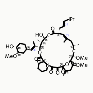 CO[C@H]1C[C@@H](C)C/C(C)=C/[C@@H](C/C=C/C(C)C)C(=O)C[C@H](O)[C@@H](C)[C@@H](/C(C)=C/[C@@H]2CC[C@@H](O)[C@H](OC)C2)OC(=O)[C@@H]2CCCCN2C(=O)C(=O)[C@]2(O)O[C@H]1[C@@H](OC)C[C@H]2C